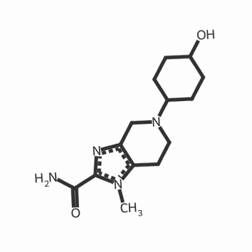 Cn1c(C(N)=O)nc2c1CCN(C1CCC(O)CC1)C2